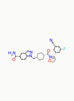 N#Cc1cc(F)cc([C@@H]2CCON2C(=O)[C@H]2CC[C@H](Cn3ncc4cc(C(N)=O)ccc43)CC2)c1